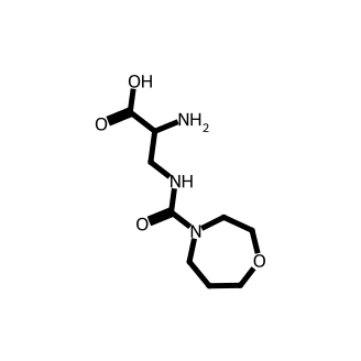 NC(CNC(=O)N1CCCOCC1)C(=O)O